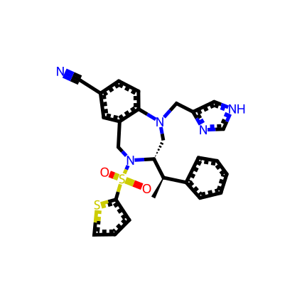 C[C@H](c1ccccc1)[C@H]1CN(Cc2c[nH]cn2)c2ccc(C#N)cc2CN1S(=O)(=O)c1cccs1